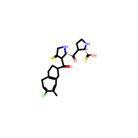 CC1=CC2=C(CC=C1Cl)CCC(C(=O)C1C(=S)CN[C@@H]1C(=O)C1CCN[C@@H]1C(O)=S)C2